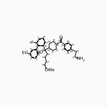 CCc1cccc(-c2c(F)cccc2C(O)(CCCCOC)C2CCN(C(=O)c3ccc(CCN)cc3)CC2)c1